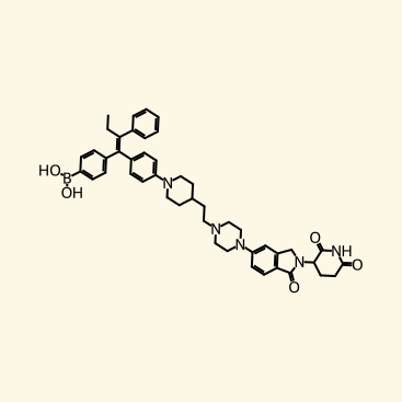 CC/C(=C(\c1ccc(B(O)O)cc1)c1ccc(N2CCC(CCN3CCN(c4ccc5c(c4)CN(C4CCC(=O)NC4=O)C5=O)CC3)CC2)cc1)c1ccccc1